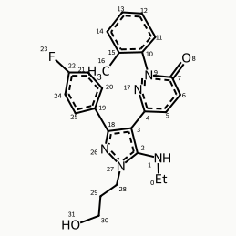 CCNc1c(-c2ccc(=O)n(-c3ccccc3C)n2)c(-c2ccc(F)cc2)nn1CCCO